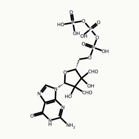 Nc1nc2c(ncn2[C@@H]2O[C@H](COP(=O)(O)OP(=O)(O)OP(=O)(O)O)C(O)(C=O)C2(O)C=O)c(=O)[nH]1